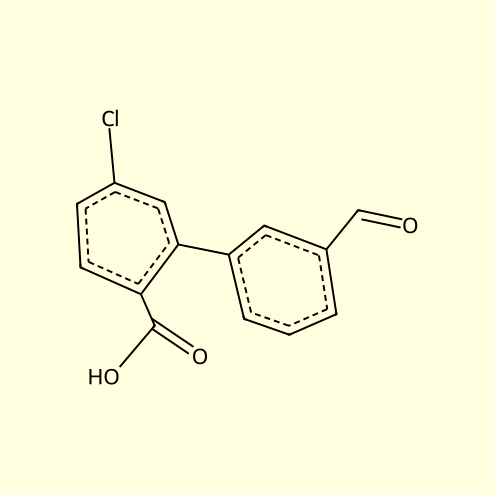 O=Cc1cccc(-c2cc(Cl)ccc2C(=O)O)c1